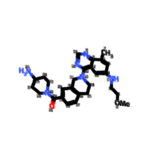 COCCNc1cc(C)c2ncnc(N3CCc4ccc(C(=O)N5CCC(N)CC5)cc4C3)c2c1